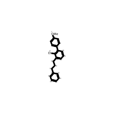 CCc1c(-c2ccc(OC)cc2)[c]ccc1CCCc1ccccc1